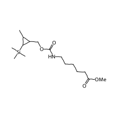 COC(=O)CCCCCNC(=O)OCC1C(C)C1[Si](C)(C)C